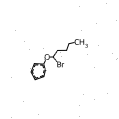 CCCCC(Br)Oc1ccccc1